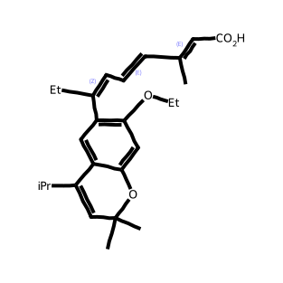 CCOc1cc2c(cc1\C(=C/C=C/C(C)=C/C(=O)O)CC)C(C(C)C)=CC(C)(C)O2